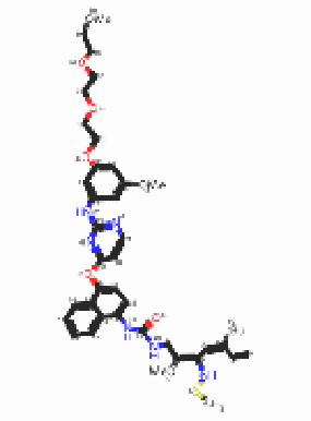 C=C/C(=C\C(NSC(F)(F)F)=C(/CNC(=O)Nc1ccc(Oc2ccnc(Nc3cc(OC)cc(OCCOCCOCCOC)c3)n2)c2ccccc12)OC)C(C)(C)C